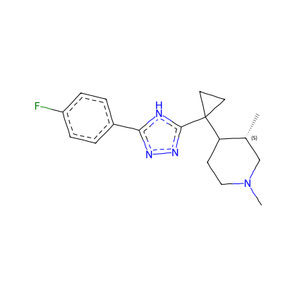 C[C@@H]1CN(C)CCC1C1(c2nnc(-c3ccc(F)cc3)[nH]2)CC1